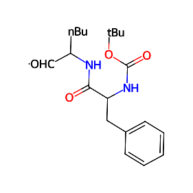 CCCCC([C]=O)NC(=O)C(Cc1ccccc1)NC(=O)OC(C)(C)C